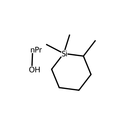 CC1CCCC[Si]1(C)C.CCCO